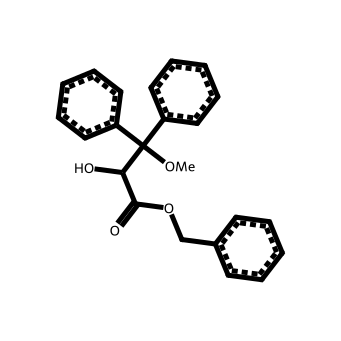 COC(c1ccccc1)(c1ccccc1)C(O)C(=O)OCc1ccccc1